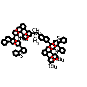 CC(C)(C)c1cc(-c2cccc3cccc(-c4ccccc4N(c4ccc(-c5ccc6cc(CC(C)(C)c7cc(-c8cccc9cccc(-c%10ccccc%10N(c%10cccc(-c%11cccc%12sc%13ccccc%13c%11%12)c%10)c%10ccccc%10-c%10cccc%11c%10ccc%10ccccc%10%11)c89)cc(C(C)(C)C)c7)ccc6c5)cc4)c4ccccc4-c4cccc5sc6ccccc6c45)c23)cc(C(C)(C)C)c1